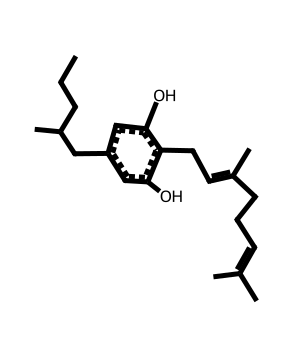 CCCC(C)Cc1cc(O)c(C/C=C(\C)CCC=C(C)C)c(O)c1